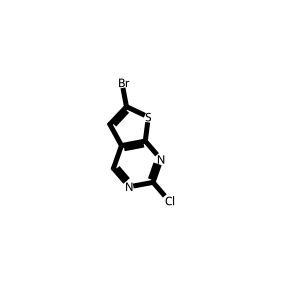 Clc1ncc2cc(Br)sc2n1